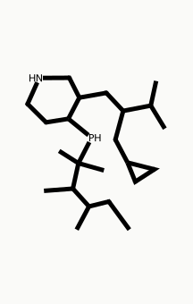 CCC(C)C(C)C(C)(C)PC1CCNCC1CC(CC1CC1)C(C)C